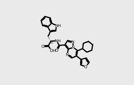 O=C(N[C@@H](Cc1c[nH]c2ccccc12)C(=O)O)c1cnn2c(C3CCCCC3)c(-c3ccoc3)cnc12